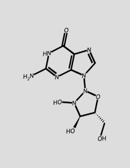 Nc1nc2c(ncn2N2O[C@H](CO)[C@@H](O)N2O)c(=O)[nH]1